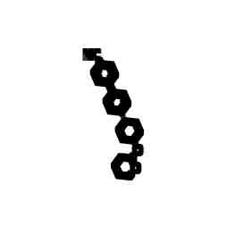 N#Cc1ccc(-c2ccc([C@H]3CC[C@H](OC4CCCCO4)CC3)cc2)cc1